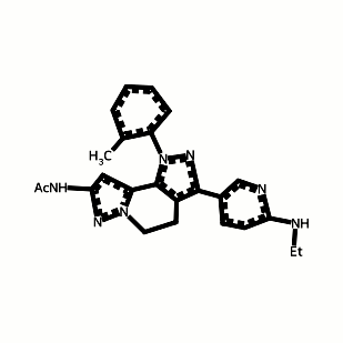 CCNc1ccc(-c2nn(-c3ccccc3C)c3c2CCn2nc(NC(C)=O)cc2-3)cn1